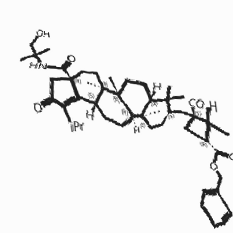 CC(C)C1=C2[C@H]3CC[C@@H]4[C@]5(C)CC[C@H]([C@@]6(C(=O)O)C[C@@H](C(=O)OCc7ccccc7)C6(C)C)C(C)(C)[C@H]5CC[C@@]4(C)[C@]3(C)CC[C@@]2(C(=O)NC(C)(C)CO)CC1=O